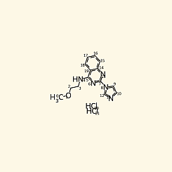 COCCNc1nc(-n2ccnc2)nc2ccccc12.Cl.Cl